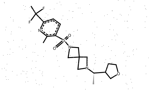 Cc1nc(C(C)(F)F)ccc1S(=O)(=O)N1CC2(CN([C@@H](C)C3CCOC3)C2)C1